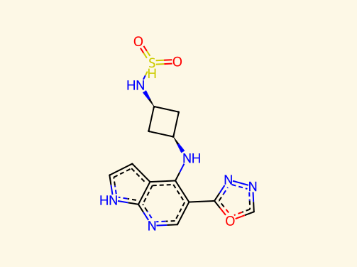 O=[SH](=O)N[C@H]1C[C@@H](Nc2c(-c3nnco3)cnc3[nH]ccc23)C1